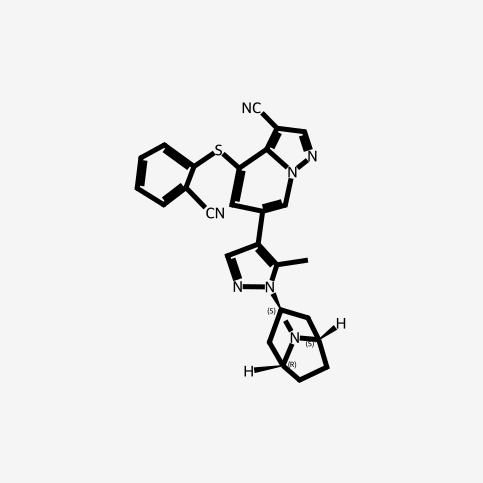 Cc1c(-c2cc(Sc3ccccc3C#N)c3c(C#N)cnn3c2)cnn1[C@@H]1C[C@H]2CC[C@@H](C1)N2C